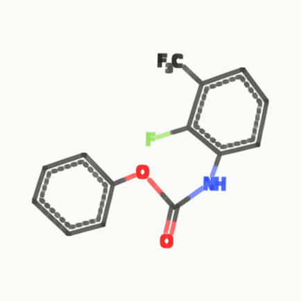 O=C(Nc1cccc(C(F)(F)F)c1F)Oc1ccccc1